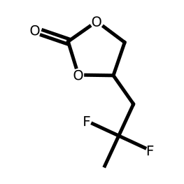 CC(F)(F)CC1COC(=O)O1